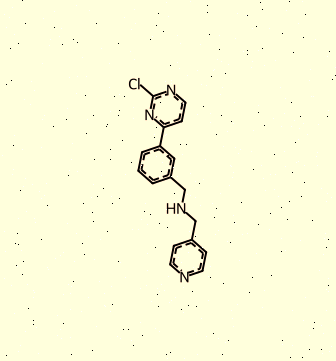 Clc1nccc(-c2cccc(CNCc3ccncc3)c2)n1